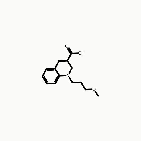 COCCCN1CC(C(=O)O)Cc2ccccc21